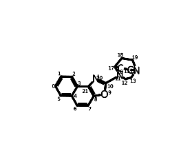 c1ccc2c(c1)ccc1oc(N3CCN4CCC3CC4)nc12